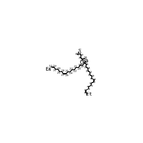 CC/C=C\CCCC/C=C\CCCCCCCCC1(CCCCCCCC/C=C\CCCC/C=C\CC)OCC(CCN(C)C)O1